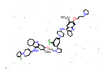 COc1cc2c(NC3CCN(c4cc(F)cc(C5CCCN5CCCOc5cc6nc7c(c(NC8CCN(c9ccccc9F)CC8)c6cc5OC)CCCCC7)c4)CC3)c3c(nc2cc1OCCCN1CCCC1)CCC3